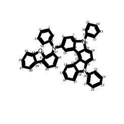 c1ccc(N(c2ccc3c(c2)c2c4c5ccccc5n(-c5ccccc5)c4ccc2n3-c2ccccc2)c2cccc3c2oc2ccccc23)cc1